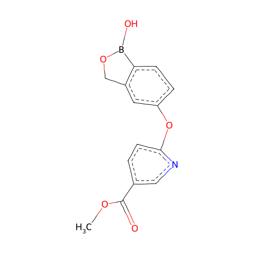 COC(=O)c1ccc(Oc2ccc3c(c2)COB3O)nc1